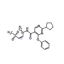 C[C@H](/C=C\S(C)(=O)=O)NC(=O)c1cnc(C2CCCC2)nc1Oc1ccccc1